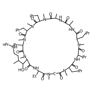 CCCNCCC(C)C(O)C1C(=O)NC(CC)C(=O)N(C)CC(=O)N(C)C(CC(C)C)C(=O)NC(C(C)C)C(=O)N(C)C(CC(C)C)C(=O)NC(C)C(=O)NC(C)C(=O)N(C)C(CC(C)C)C(=O)N(C)C(CC(C)C)C(=O)N(C)C(C(C)C)C(=O)N1C